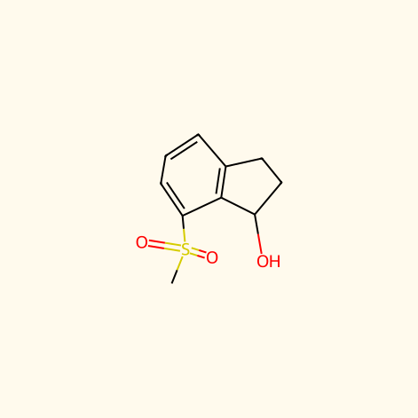 CS(=O)(=O)c1cccc2c1C(O)CC2